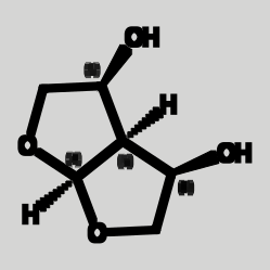 O[C@@H]1CO[C@@H]2OC[C@H](O)[C@@H]21